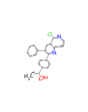 CC(O)c1ccc(-c2nc3ccnc(Cl)c3cc2-c2ccccc2)cc1